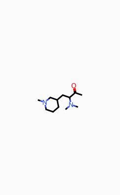 CC(=O)C(CC1CCCN(C)C1)N(C)C